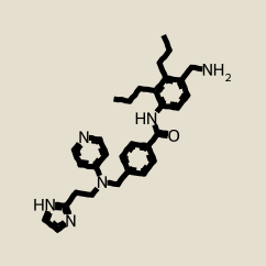 CCCc1c(CN)ccc(NC(=O)c2ccc(CN(CCc3ncc[nH]3)c3ccncc3)cc2)c1CCC